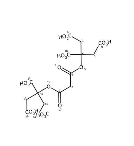 O=C(O)CC(CC(=O)O)(OC(=O)CC(=O)OC(CC(=O)O)(CC(=O)O)C(=O)O)C(=O)O